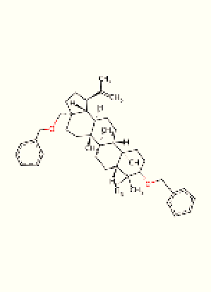 C=C(C)[C@@H]1CC[C@]2(COCc3ccccc3)CC[C@]3(C)[C@H](CC[C@@H]4[C@@]5(C)CC[C@H](OCc6ccccc6)C(C)(C)[C@@H]5CC[C@]43C)[C@@H]12